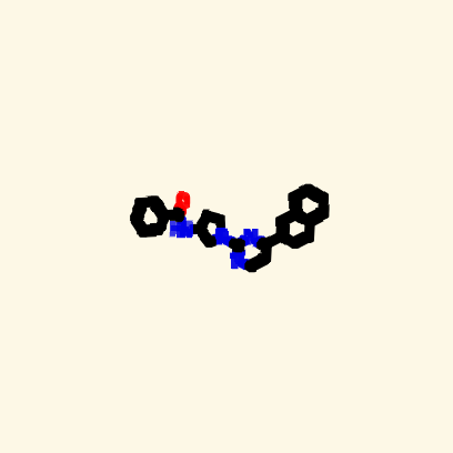 O=C(NC1CCN(c2nccc(-c3ccc4ccccc4c3)n2)C1)c1ccccc1